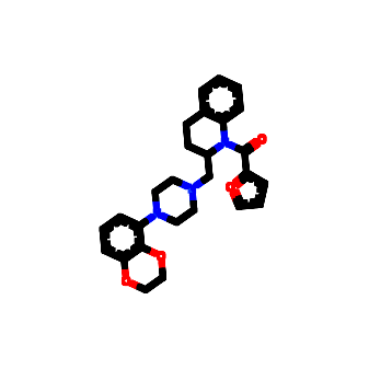 O=C(c1ccco1)N1c2ccccc2CCC1CN1CCN(c2cccc3c2OCCO3)CC1